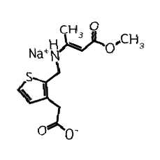 COC(=O)C=C(C)NCc1sccc1CC(=O)[O-].[Na+]